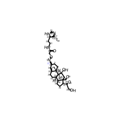 C[C@]12CC/C(=N\OCC(=O)NCCc3[nH]cnc3[125I])C=C1CC[C@@H]1[C@@H]2[C@@H](O)C[C@]2(C=O)[C@@H](C(=O)CO)CC[C@@H]12